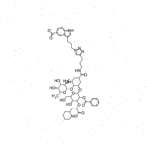 CC1CC(C(=O)NCCCc2cn(CCCc3c[nH]c4ccc([N+](=O)[O-])cc34)nn2)C[C@@H](O[C@@H]2OC(CO)[C@H](O)C(O[C@@H](CC3CCCCC3)C(=O)O)C2OC(=O)c2ccccc2)C1O[C@@H]1OC(C)[C@@H](O)C(O)C1O